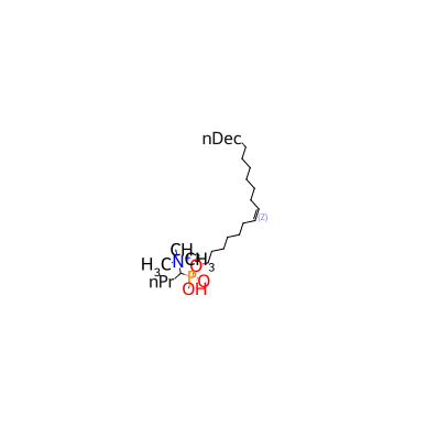 CCCCCCCCCCCCCCCC/C=C\CCCCCCOP(=O)(O)C(CCC)[N+](C)(C)C